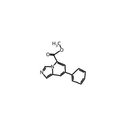 COC(=O)c1cc(-c2ccccc2)cc2cncn12